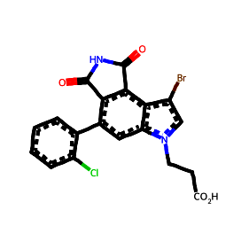 O=C(O)CCn1cc(Br)c2c3c(c(-c4ccccc4Cl)cc21)C(=O)NC3=O